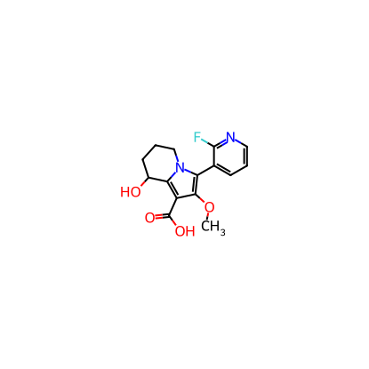 COc1c(C(=O)O)c2n(c1-c1cccnc1F)CCCC2O